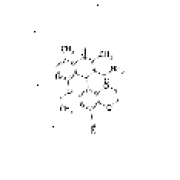 CCOc1ncc(C)c2c1[C@@H](c1ccc(C#N)c3c1OCCO3)C(C(N)=O)=C(C)N2